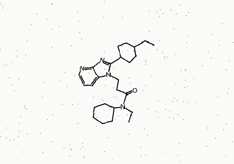 CCC1CCC(c2nc3ncccc3n2CCC(=O)N(CC)C2CCCCC2)CC1